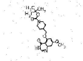 COc1cc(OCC2CCN(C(=O)OC(C)(C)C)CC2)c2c(=O)[nH]cnc2c1